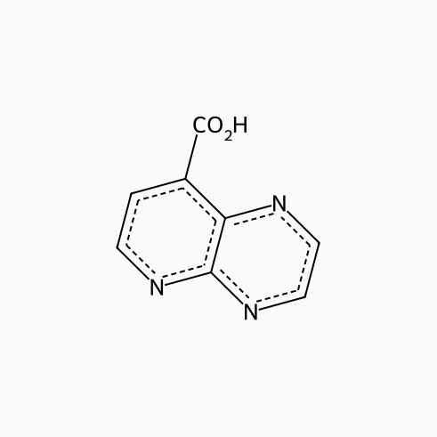 O=C(O)c1ccnc2nccnc12